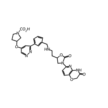 O=C1COc2ccc(N3CC(CCNCc4cccc(-c5cc(OC6CCN(C(=O)O)C6)cnn5)c4)OC3=O)nc2N1